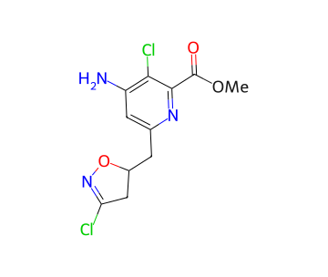 COC(=O)c1nc(CC2CC(Cl)=NO2)cc(N)c1Cl